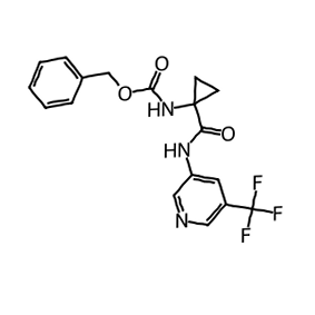 O=C(NC1(C(=O)Nc2cncc(C(F)(F)F)c2)CC1)OCc1ccccc1